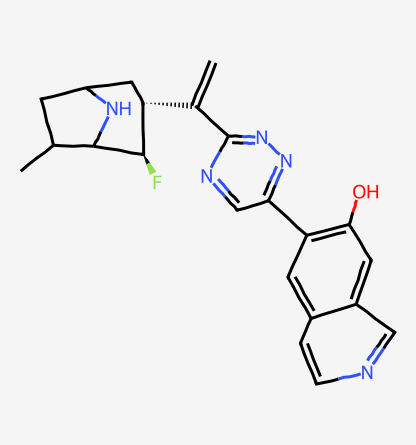 C=C(c1ncc(-c2cc3ccncc3cc2O)nn1)[C@H]1CC2CC(C)C(N2)[C@@H]1F